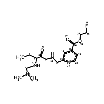 CCC(NCN(C)C)C(=O)CNCc1cc(C(=O)OCCF)ccn1